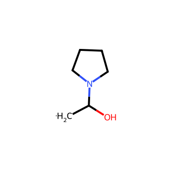 [CH2]C(O)N1CCCC1